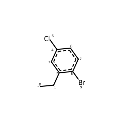 [CH2]Cc1cc(Cl)ccc1Br